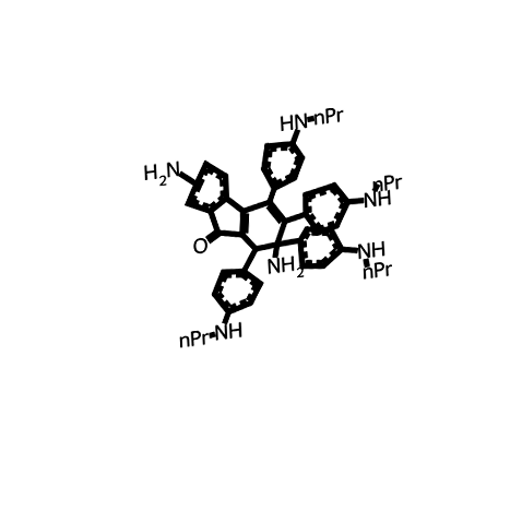 CCCNc1ccc(C2=C(c3ccc(NCCC)cc3)C(N)(c3ccc(NCCC)cc3)C(c3ccc(NCCC)cc3)C3=C2c2ccc(N)cc2C3=O)cc1